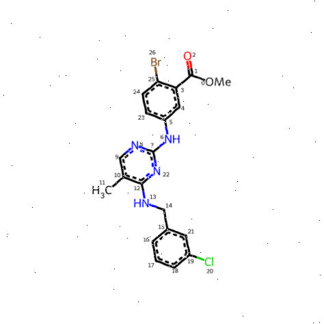 COC(=O)c1cc(Nc2ncc(C)c(NCc3cccc(Cl)c3)n2)ccc1Br